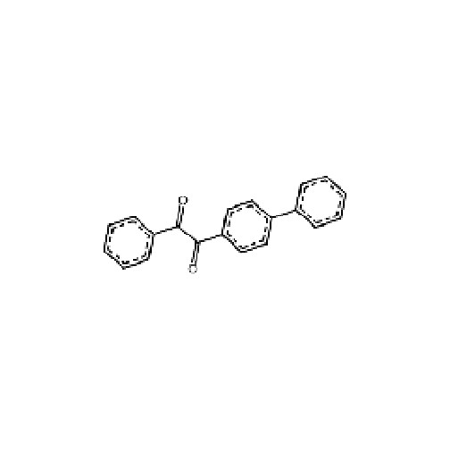 O=C(C(=O)c1ccc(-c2ccccc2)cc1)c1ccccc1